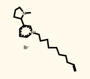 C=CCCCCCCCC[n+]1cccc(C2CCCN2C)c1.[Br-]